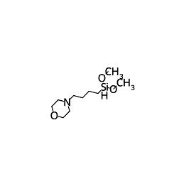 CO[SiH](CCCCN1CCOCC1)OC